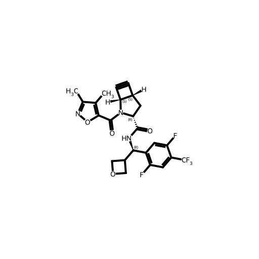 Cc1noc(C(=O)N2[C@@H](C(=O)N[C@@H](c3cc(F)c(C(F)(F)F)cc3F)C3COC3)C[C@H]3C#C[C@H]32)c1C